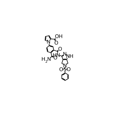 NC(=O)c1ccc(-n2cccc2C(=O)O)cc1C(=O)Nc1n[nH]c2c1CN(S(=O)(=O)c1ccccc1)C2